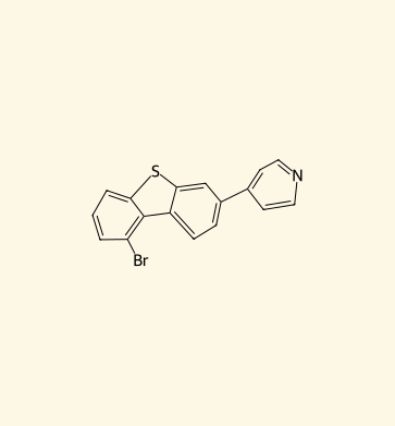 Brc1cccc2sc3cc(-c4ccncc4)ccc3c12